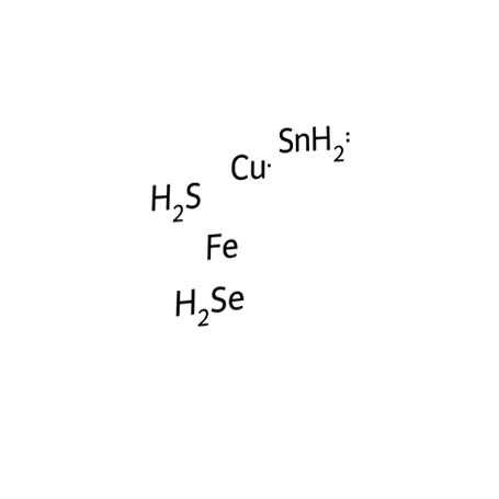 S.[Cu].[Fe].[SeH2].[SnH2]